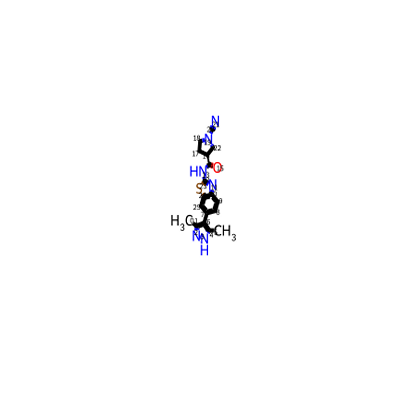 Cc1n[nH]c(C)c1-c1ccc2nc(NC(=O)[C@H]3CCN(C#N)C3)sc2c1